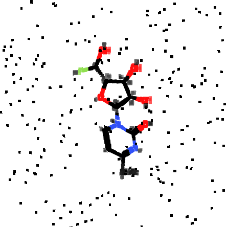 CC(=O)Nc1ccn([C@@H]2O[C@H](C(O)F)[C@@H](O)[C@H]2O)c(=O)n1